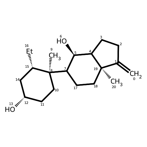 C=C1CCC2[C@H](O)C([C@@]3(C)CC[C@H](O)C[C@@H]3CC)CC[C@]12C